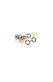 COc1ccc(S)cc1.O=S(=O)(O)C(F)(F)F.c1ccc(-c2ccccc2)cc1